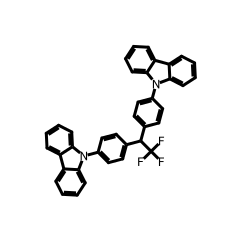 FC(F)(F)C(c1ccc(-n2c3ccccc3c3ccccc32)cc1)c1ccc(-n2c3ccccc3c3ccccc32)cc1